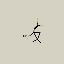 CC1(C)CC1(C=C(F)F)C(=O)O